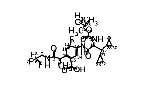 CC(C(=O)NCC(F)(F)F)c1cc(F)c(NC(=O)[C@@H](NC(=O)OC(C)(C)C)C(C2CC2)C2CC2)cc1C(=O)O